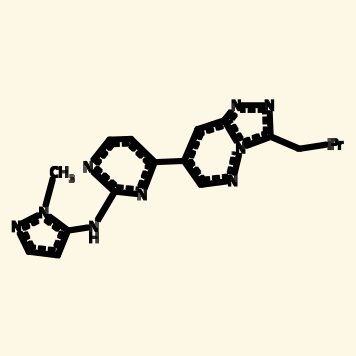 CC(C)Cc1nnc2cc(-c3ccnc(Nc4ccnn4C)n3)cnn12